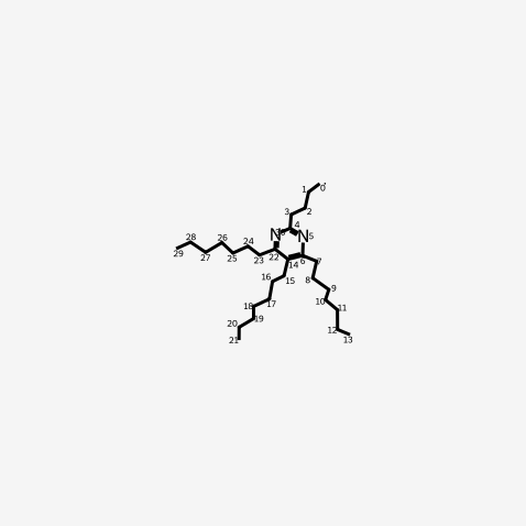 [CH2]CCCc1nc(CCCCCCC)c(CCCCCCC)c(CCCCCCC)n1